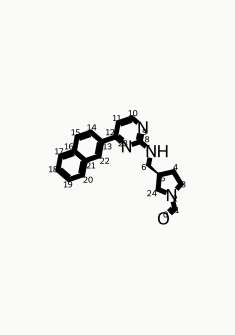 O=CN1CC[C@H](CNc2nccc(-c3ccc4ccccc4c3)n2)C1